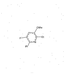 CCc1nc(C(C)C)c(F)cc1OC